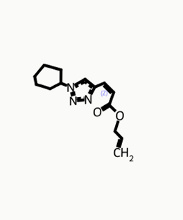 C=CCOC(=O)/C=C\c1cn(C2CCCCC2)nn1